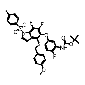 COc1ccc(CSc2c(Oc3ccc(F)c(NC(=O)OC(C)(C)C)c3)c(F)c(F)c3c2ccn3S(=O)(=O)c2ccc(C)cc2)cc1